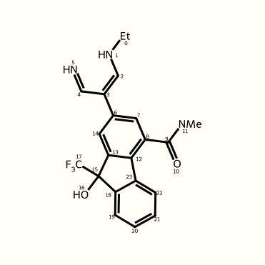 CCN/C=C(\C=N)c1cc(C(=O)NC)c2c(c1)C(O)(C(F)(F)F)c1ccccc1-2